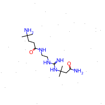 CC(C)(N)CCC(=O)NCCNC(=N)NC(C)(C)CC(N)=O